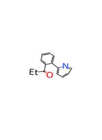 CCC(=O)c1ccccc1-c1ccccn1